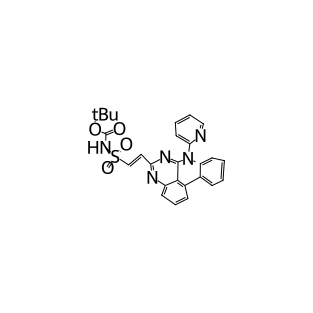 CN(c1ccccn1)c1nc(/C=C/S(=O)(=O)NC(=O)OC(C)(C)C)nc2cccc(-c3ccccc3)c12